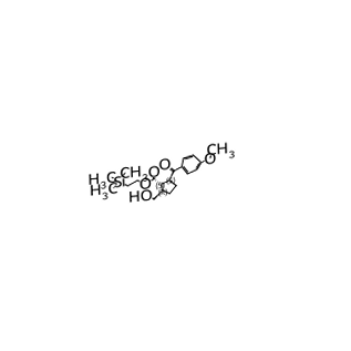 COc1ccc(C(=O)[C@H]2CC[C@@H](CO)[C@@H]2C(=O)OCC[Si](C)(C)C)cc1